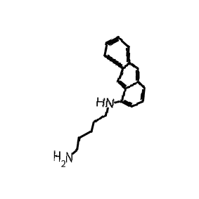 NCCCCCNc1cccc2cc3ccccc3cc12